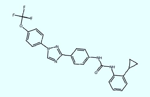 O=C(Nc1ccc(-c2ncn(-c3ccc(OC(F)(F)F)cc3)n2)cc1)Nc1ccccc1C1CC1